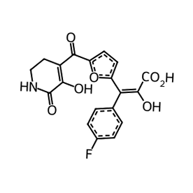 O=C1NCCC(C(=O)c2ccc(/C(=C(/O)C(=O)O)c3ccc(F)cc3)o2)=C1O